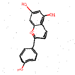 Oc1ccc(-c2ccc3c(O)cc(O)cc3[o+]2)cc1